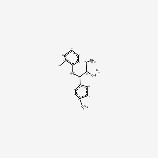 COc1ccc(C(Nc2ccccc2C)C(O)CN)cc1.Cl